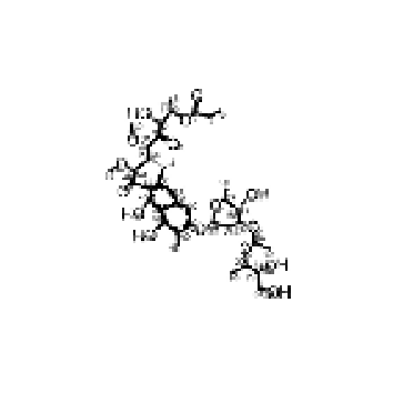 CCC(=O)O[C@H](C)[C@H](O)C(=O)[C@@H](OC)[C@@H]1Cc2cc3cc(O[C@H]4CC(OC(C)OC(C)[C@@H](O)CO)[C@H](O)C(C)O4)c(C)c(O)c3c(O)c2C(=O)[C@H]1OC